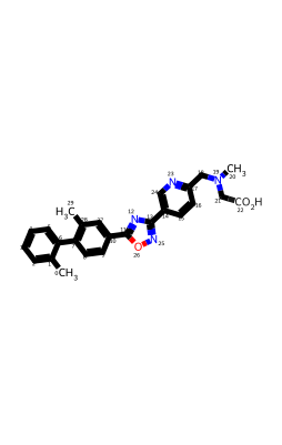 Cc1ccccc1-c1ccc(-c2nc(-c3ccc(CN(C)CC(=O)O)nc3)no2)cc1C